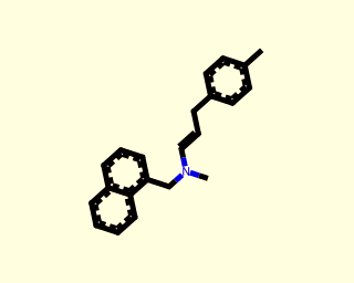 Cc1ccc(CC=CN(C)Cc2cccc3ccccc23)cc1